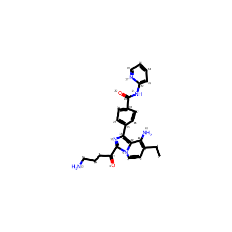 CCc1ccn2c(C(=O)CCCN)nc(-c3ccc(C(=O)Nc4ccccn4)cc3)c2c1N